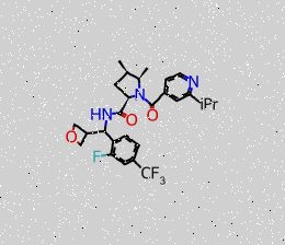 CC(C)c1cc(C(=O)N2[C@@H](C(=O)NC(c3ccc(C(F)(F)F)cc3F)C3COC3)C[C@@H](C)[C@H]2C)ccn1